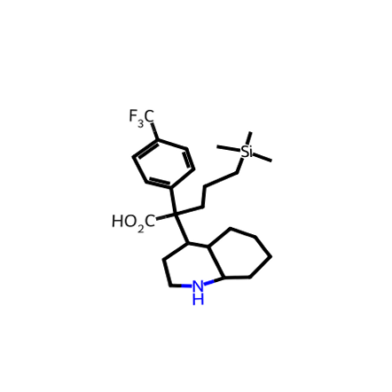 C[Si](C)(C)CCCC(C(=O)O)(c1ccc(C(F)(F)F)cc1)C1CCNC2CCCCC21